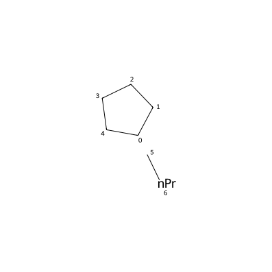 C1CCCC1.CCCC